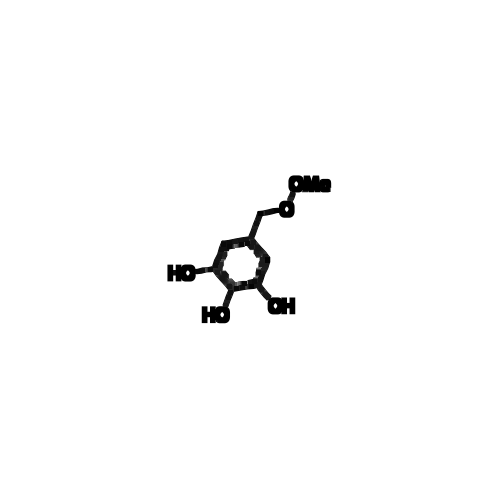 COOCc1cc(O)c(O)c(O)c1